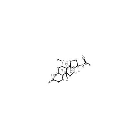 CC[C@H]1C=C2NC(=O)CC[C@]2(C)[C@H]2CC[C@]3(C)[C@@H](OC(C)=O)CC[C@H]3[C@H]12